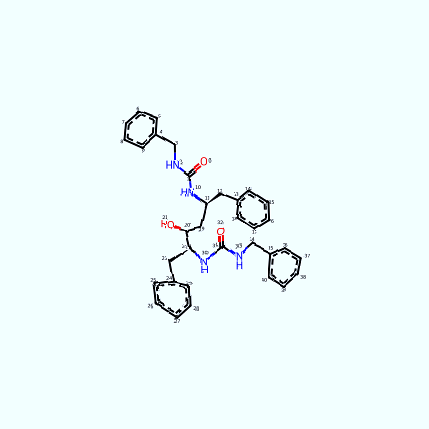 O=C(NCc1ccccc1)N[C@@H](Cc1ccccc1)C[C@H](O)[C@H](Cc1ccccc1)NC(=O)NCc1ccccc1